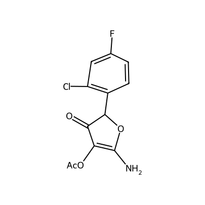 CC(=O)OC1=C(N)OC(c2ccc(F)cc2Cl)C1=O